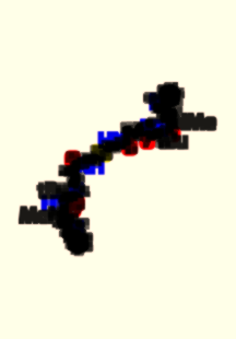 CN[C@H](C(=O)N[C@H](C(=O)N(C)C/C=C(\C)C(=O)NCCSSCCNC(=O)/C(C)=C/CN(C)C(=O)[C@@H](NC(=O)[C@@H](NC)C(C)(C)c1cc2ccccc2n1C)C(C)(C)C)C(C)(C)C)C(C)(C)c1cn(C)c2ccccc12